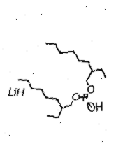 CCCCCCC(CC)COP(O)OCC(CC)CCCCCC.[LiH]